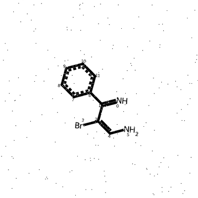 N=C(/C(Br)=C\N)c1ccccc1